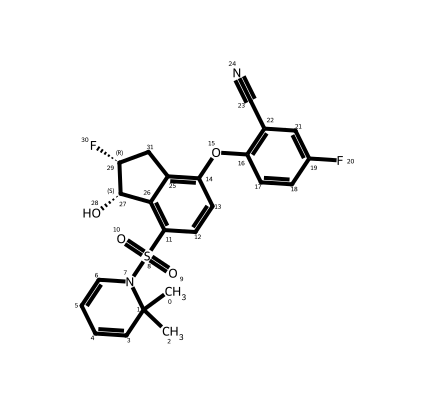 CC1(C)C=CC=CN1S(=O)(=O)c1ccc(Oc2ccc(F)cc2C#N)c2c1[C@H](O)[C@H](F)C2